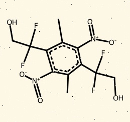 Cc1c([N+](=O)[O-])c(C(F)(F)CO)c(C)c([N+](=O)[O-])c1C(F)(F)CO